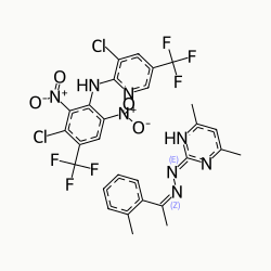 C/C(=N/N=c1\nc(C)cc(C)[nH]1)c1ccccc1C.O=[N+]([O-])c1cc(C(F)(F)F)c(Cl)c([N+](=O)[O-])c1Nc1ncc(C(F)(F)F)cc1Cl